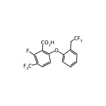 O=C(O)c1c(Oc2ccccc2CC(F)(F)F)ccc(C(F)(F)F)c1F